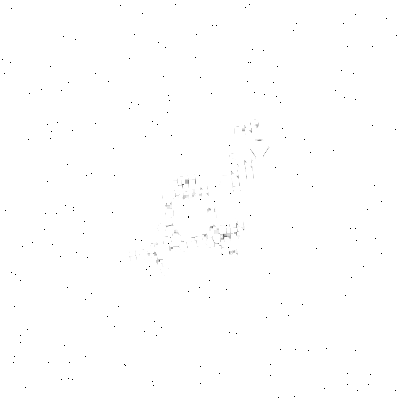 CC[C@H]1OC(=O)[C@H](C)[C@@H](O[C@H]2C[C@@](C)(OC)[C@@H](O)[C@H](C)O2)[C@H](C)[C@@H](O[C@@H]2O[C@H](C)C[C@H](N(C)C)[C@H]2O)[C@](C)(O)C[C@@H](C)CN(CCCNC(=S)Nc2cccc([N+](=O)[O-])c2)[C@H](C)[C@@H](O)[C@]1(C)O